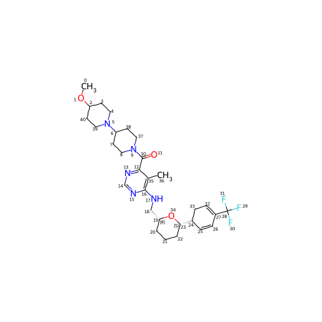 COC1CCN(C2CCN(C(=O)c3ncnc(NC[C@H]4CCC[C@@H](C5C=CC(C(F)(F)F)=CC5)O4)c3C)CC2)CC1